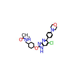 CC(=O)NCC1CCC(Oc2nc3nc(-c4ccc(N5CCOCC5)cc4)c(Cl)cc3[nH]2)CC1